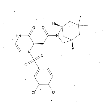 CC1(C)C[C@@H]2C[C@@](C)(CN2C(=O)C[C@@H]2C(=O)NC=CN2S(=O)(=O)c2ccc(Cl)c(Cl)c2)C1